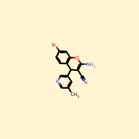 Cc1cncc(C2C(C#N)=C(N)Oc3cc(Br)ccc32)c1